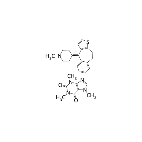 CN1CCC(=C2c3ccccc3CCc3sccc32)CC1.Cn1c(=O)c2c(ncn2C)n(C)c1=O